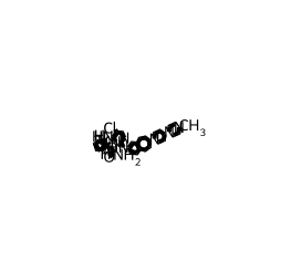 CN1CCN(C2CCN(C3CCc4ccc(Nc5ncc(Cl)c(N[C@H]6[C@@H](OC(N)=O)[C@@H]7C=C[C@H]6C7)n5)cc4CC3)CC2)CC1